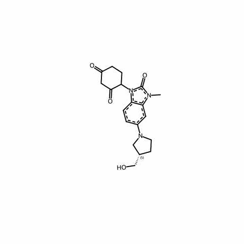 Cn1c(=O)n(C2CCC(=O)CC2=O)c2ccc(N3CC[C@H](CO)C3)cc21